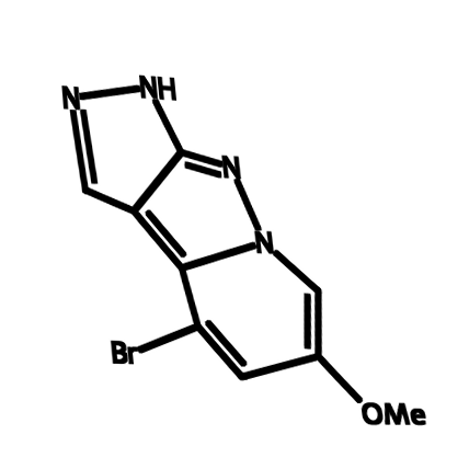 COc1cc(Br)c2c3cn[nH]c3nn2c1